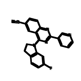 COc1ccc2nc(-c3cccnc3)nc(N3CCc4ccc(F)cc43)c2c1